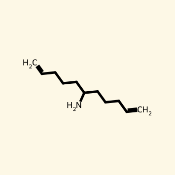 C=CCCCC(N)CCCC=C